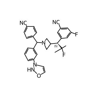 CC(C)(F)[C@H](c1cc(F)cc(C#N)c1)C1CN(C(c2ccc(C#N)cc2)c2cccc(N3C=CON3)c2)C1